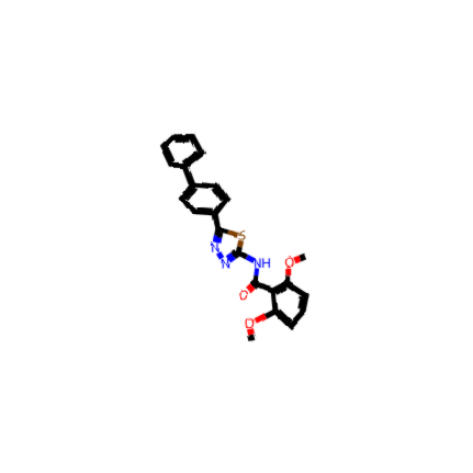 COc1cccc(OC)c1C(=O)Nc1nnc(-c2ccc(-c3ccccc3)cc2)s1